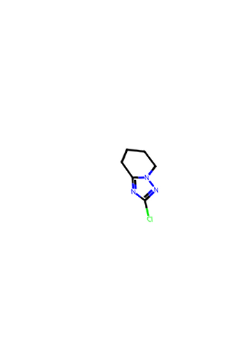 Clc1nc2n(n1)CCCC2